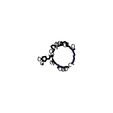 COC1C(=O)C(C)C[C@H](C)/C=C/C=C/C=C(\C)[C@@H](OC)C[C@@H]2CCC(C)C(O)(O2)C(=O)C(=O)N2CCCCC2C(=O)O[C@H]([C@H](C)CC2CC[C@@H](OC)C(OC)C2)CC(=O)[C@H](C)/C=C(\C)[C@H]1O